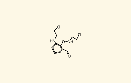 O=Cc1cccc(NCCCl)c1ONCCCl